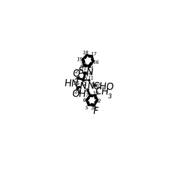 Cc1cc(F)ccc1CN(C=O)C[C@@]1(c2nc3ccccc3s2)NC(=O)NC1=O